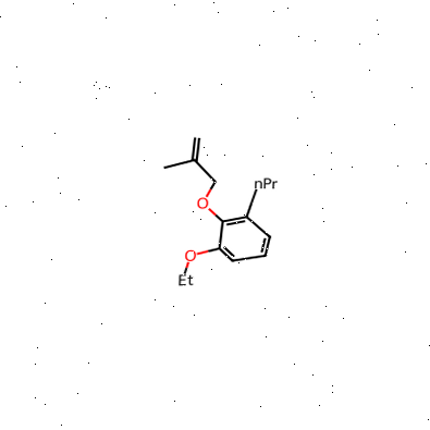 C=C(C)COc1c(CCC)cccc1OCC